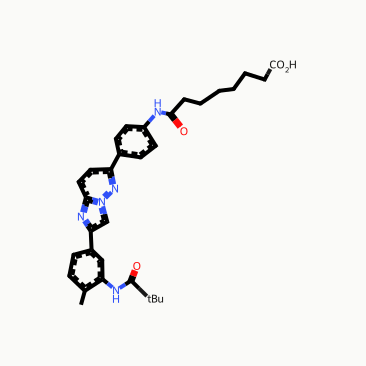 Cc1ccc(-c2cn3nc(-c4ccc(NC(=O)CCCCCCC(=O)O)cc4)ccc3n2)cc1NC(=O)C(C)(C)C